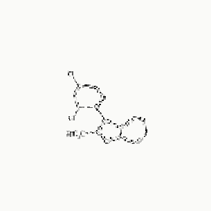 CCOC(=O)c1oc2ccccc2c1-c1ccc(Cl)cc1Cl